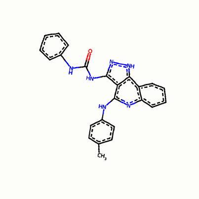 Cc1ccc(Nc2nc3ccccc3c3[nH]nc(NC(=O)Nc4ccccc4)c23)cc1